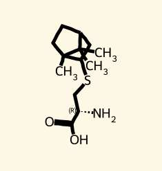 CC1(C)C2CCC1(C)C(SC[C@H](N)C(=O)O)C2